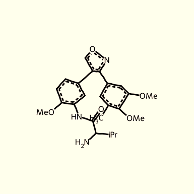 COc1ccc(-c2conc2-c2cc(C)c(OC)c(OC)c2)cc1NC(=O)C(N)C(C)C